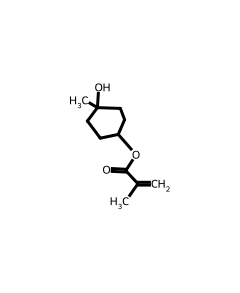 C=C(C)C(=O)OC1CCC(C)(O)CC1